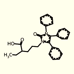 CCC(CCCn1c(-c2ccccc2)c(-c2ccccc2)n(-c2ccccc2)c1=O)C(=O)O